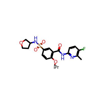 Cc1nc(NC(=O)c2cc(S(=O)(=O)NC3CCOC3)ccc2OC(C)C)ccc1F